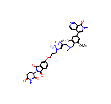 COc1cc(-c2cn(C)c(=O)c3cnccc23)cc(OC)c1CN(C)C/C(N)=C/N(N)CCCOc1ccc2c(c1)C(=O)N(C1CCC(=O)NC1=O)C2=O